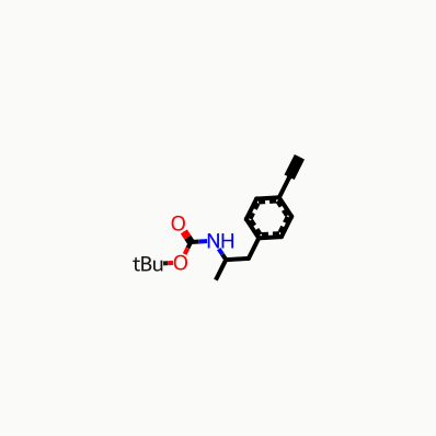 C#Cc1ccc(CC(C)NC(=O)OC(C)(C)C)cc1